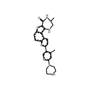 Cc1cc(N2CCNCC2)ncc1-c1ccc2c(ccc3sc4c(c32)NCC(C)NC4=O)n1